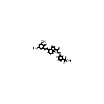 C=C1/C(=C\C=C2/CCCC3(C)C2CCC3C(C)COc2cccc(C(C)(C)O)c2)CC(O)CC1O